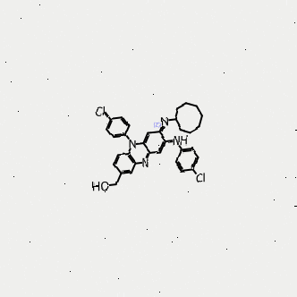 OCc1ccc2c(c1)nc1cc(Nc3ccc(Cl)cc3)/c(=N\C3CCCCCCC3)cc-1n2-c1ccc(Cl)cc1